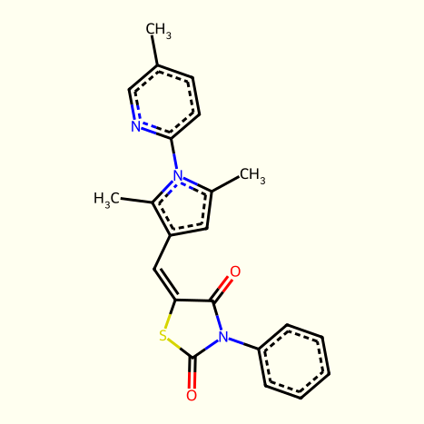 Cc1ccc(-n2c(C)cc(/C=C3/SC(=O)N(c4ccccc4)C3=O)c2C)nc1